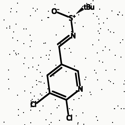 CC(C)(C)[S@@+]([O-])/N=C/c1cnc(Cl)c(Cl)c1